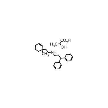 CC(O)C(=O)O.CC1(CCNCCC(c2ccccc2)c2ccccc2)C=CC=CC1